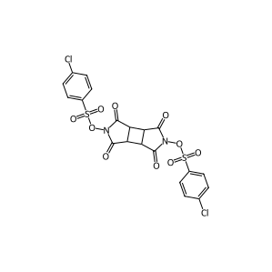 O=C1C2C(C(=O)N1OS(=O)(=O)c1ccc(Cl)cc1)C1C(=O)N(OS(=O)(=O)c3ccc(Cl)cc3)C(=O)C21